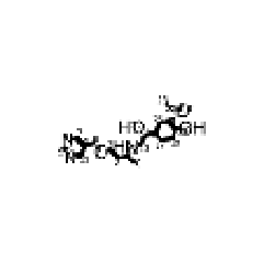 CC(CCOCc1cncnc1)NCC(O)c1ccc(O)c([S+](C)[O-])c1